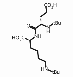 CC(C)(C)NCCCC[C@H](NC(=O)[C@H](CCC(=O)O)NC(C)(C)C)C(=O)O